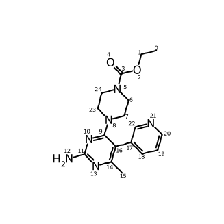 CCOC(=O)N1CCN(c2nc(N)nc(C)c2-c2cccnc2)CC1